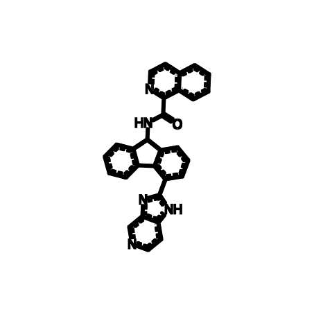 O=C(NC1c2ccccc2-c2c(-c3nc4cnccc4[nH]3)cccc21)c1nccc2ccccc12